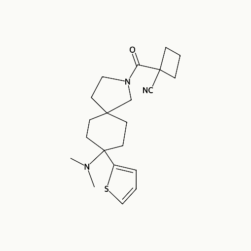 CN(C)C1(c2cccs2)CCC2(CCN(C(=O)C3(C#N)CCC3)C2)CC1